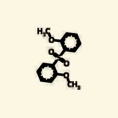 COc1ccccc1S(=O)(=O)c1ccccc1OC